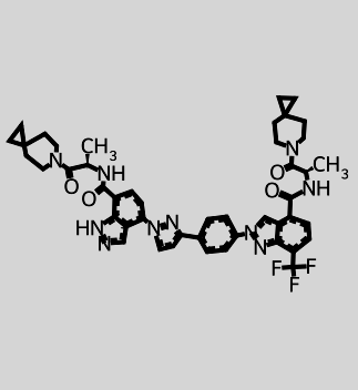 C[C@@H](NC(=O)c1ccc(C(F)(F)F)c2nn(-c3ccc(-c4ccn(-c5ccc(C(=O)N[C@H](C)C(=O)N6CCC7(CC6)CC7)c6[nH]ncc56)n4)cc3)cc12)C(=O)N1CCC2(CC1)CC2